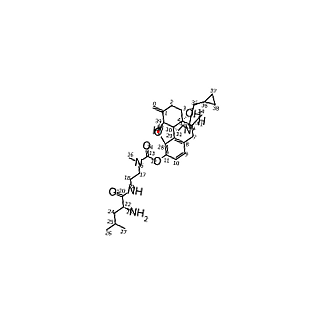 C=C1CC[C@@]2(O)[C@H]3Cc4ccc(OC(=O)N(C)CCNC(=O)[C@@H](N)CC(C)C)c5c4[C@@]2(CC[N+]3(C)CC2CC2)[C@H]1O5